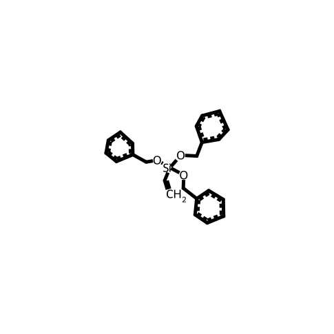 C=C[Si](OCc1ccccc1)(OCc1ccccc1)OCc1ccccc1